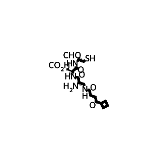 N[C@@H](CNC(=O)CCC(=O)C1CCC1)C(=O)N[C@@H](CC(=O)O)C(=O)N[C@H](C=O)CS